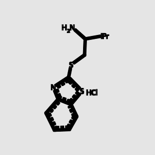 CC(C)C(N)CSc1nc2ccccc2s1.Cl